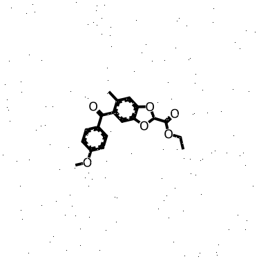 CCOC(=O)C1Oc2cc(C)c(C(=O)c3ccc(OC)cc3)cc2O1